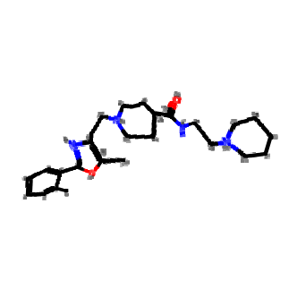 Cc1ccccc1-c1nc(CN2CCC(C(=O)NCCN3CCCCC3)CC2)c(C)o1